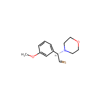 COc1cccc([C@@H](C=S)N2CCOCC2)c1